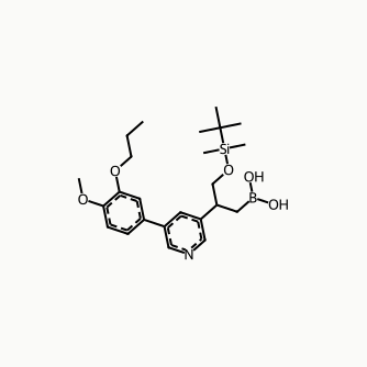 CCCOc1cc(-c2cncc(C(CO[Si](C)(C)C(C)(C)C)CB(O)O)c2)ccc1OC